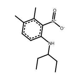 CCC(CC)Nc1ccc(C)c(C)c1[N+](=O)[O-]